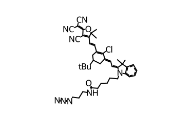 CC1(C)OC(=C(C#N)C#N)C(C#N)=C1/C=C/C1=C(Cl)C(=C/C=C2/N(CCCCCC(=O)NCCCN=[N+]=[N-])c3ccccc3C2(C)C)/CC(C(C)(C)C)C1